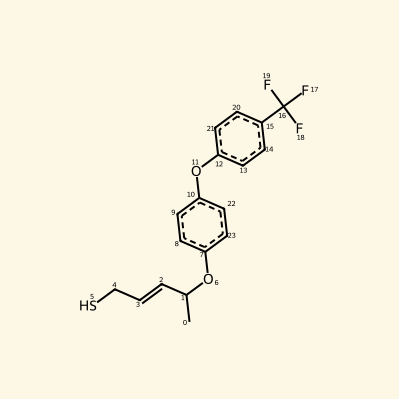 CC(C=CCS)Oc1ccc(Oc2ccc(C(F)(F)F)cc2)cc1